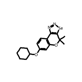 CC1(C)Oc2cc(OC3CCCCC3)ccc2-c2nn[se]c21